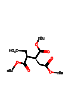 CCCCOC(=O)C[C@@H](C(=O)OCCCC)[C@H](CC(=O)O)C(=O)OCCCC